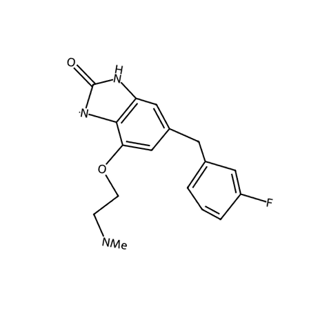 CNCCOc1cc(Cc2cccc(F)c2)cc2c1[N]C(=O)N2